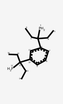 CCC(P)(CC)c1cccc(C(P)(CC)CC)c1